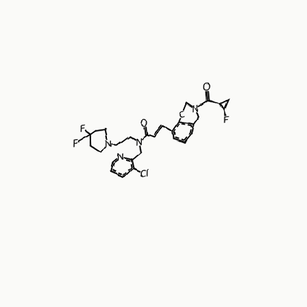 O=C(/C=C/c1cccc2c1CCN(C(=O)[C@H]1C[C@H]1F)C2)N(CCN1CCC(F)(F)CC1)Cc1ncccc1Cl